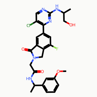 COc1cccc(C(C)NC(=O)CN2Cc3c(F)cc(-c4nc(NC(C)CO)ncc4Cl)cc3C2=O)c1